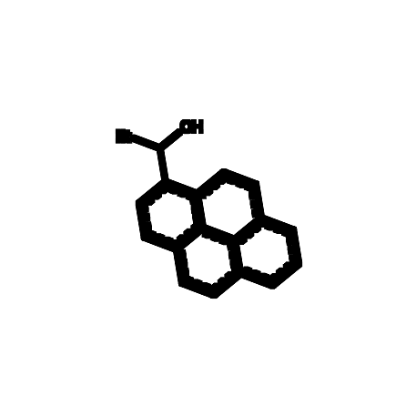 [CH2]CC(O)c1ccc2ccc3cccc4ccc1c2c34